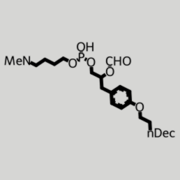 CCCCCCCCCCCCOc1ccc(CC(COP(O)OCCCCNC)OC=O)cc1